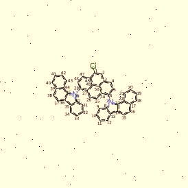 Clc1cc2ccc(-n3c4ccccc4c4ccc5ccccc5c43)c3ccc4c(-n5c6ccccc6c6ccc7ccccc7c65)ccc1c4c23